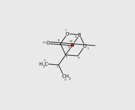 CC(C)C12COB(OC1)OC2=O